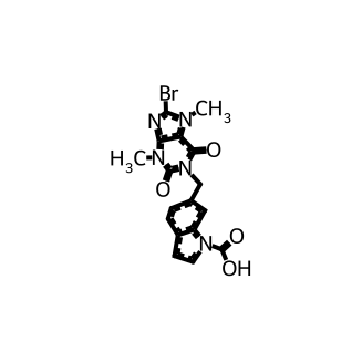 Cn1c(Br)nc2c1c(=O)n(Cc1ccc3ccn(C(=O)O)c3c1)c(=O)n2C